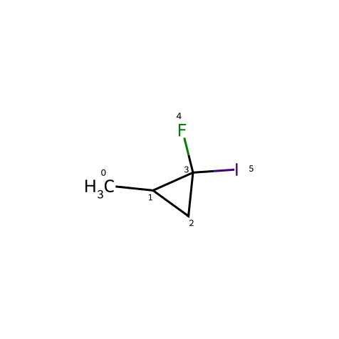 CC1CC1(F)I